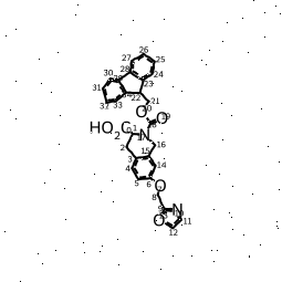 O=C(O)[C@@H]1Cc2ccc(OCc3ncco3)cc2CN1C(=O)OCC1c2ccccc2-c2ccccc21